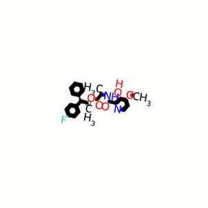 COc1ccnc(C(=O)N[C@@H](C)C(=O)O[C@@H](C)[C@H](c2ccccc2)c2ccc(F)cc2)c1O